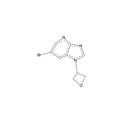 Brc1cnc2ncn(C3COC3)c2c1